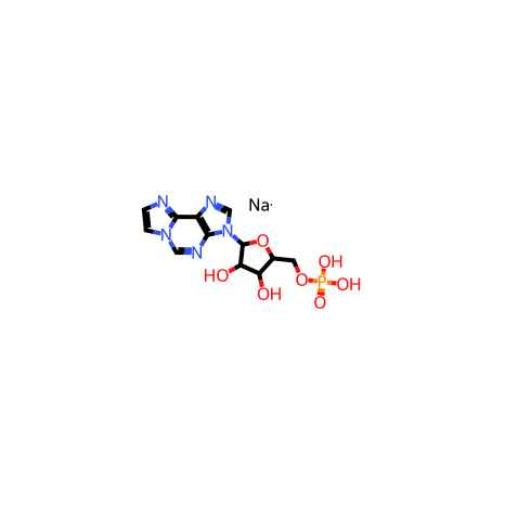 O=P(O)(O)OCC1OC(n2cnc3c2ncn2ccnc32)C(O)C1O.[Na]